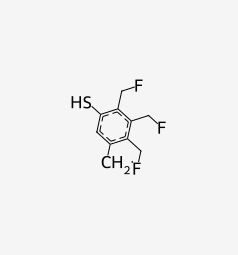 [CH2]c1cc(S)c(CF)c(CF)c1CF